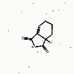 O=C1NC(=O)C2(Cl)CCCC=C12